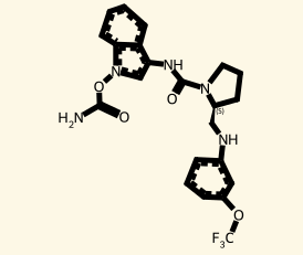 NC(=O)On1cc(NC(=O)N2CCC[C@H]2CNc2cccc(OC(F)(F)F)c2)c2ccccc21